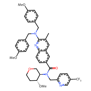 COc1ccc(CN(Cc2ccc(OC)cc2)c2nc3ccc(C(=O)N(Cc4ccc(C(F)(F)F)cn4)[C@@H]4COCC[C@H]4OC)cc3cc2C)cc1